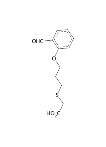 O=Cc1ccccc1OCCCSCC(=O)O